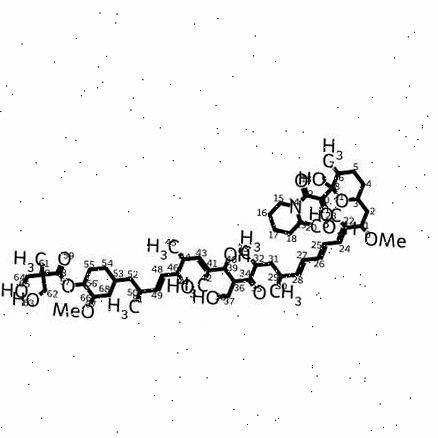 COC(CC1CCC(C)C(O)(C(=O)C(=O)N2CCCCC2C(=O)O)O1)/C(C)=C/C=C/C=C/C(C)CC(C)C(=O)C(CO)C(O)/C(C)=C/C(C)C(O)/C=C/C(C)CC1CCC(OC(=O)C(C)(CO)CO)C(OC)C1